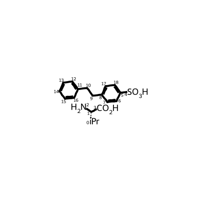 CC(C)[C@H](N)C(=O)O.O=S(=O)(O)c1ccc(CCc2ccccc2)cc1